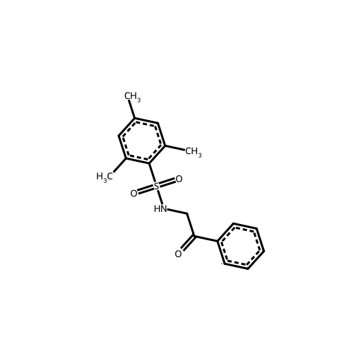 Cc1cc(C)c(S(=O)(=O)NCC(=O)c2[c]cccc2)c(C)c1